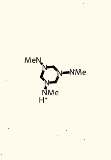 CNN1CN(NC)CN(NC)C1.[H+]